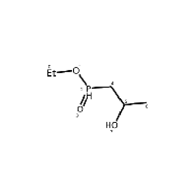 CCO[PH](=O)CC(C)O